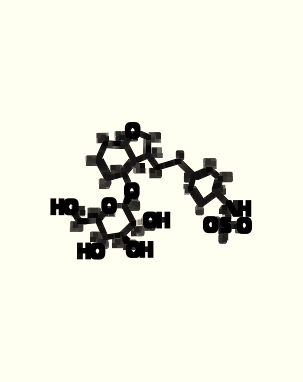 CS(=O)(=O)Nc1ccc(CCc2coc3cccc(O[C@@H]4O[C@H](CO)[C@@H](O)[C@H](O)[C@H]4O)c23)cc1